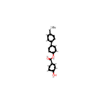 CC[C@@H](C)Cc1ccc(-c2ccc(OC(=O)c3ccc(O)cc3)cc2)cc1